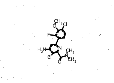 COc1c(Cl)ccc(-c2cc(N)c(Cl)c(C(=O)N(C)C)n2)c1F